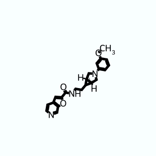 COc1cccc(N2C[C@@H]3C(CCNC(=O)c4cc5ccncc5o4)[C@@H]3C2)c1